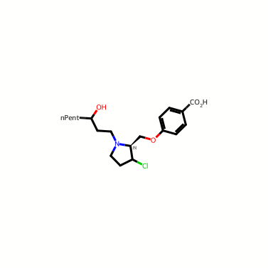 CCCCCC(O)CCN1CCC(Cl)[C@@H]1COc1ccc(C(=O)O)cc1